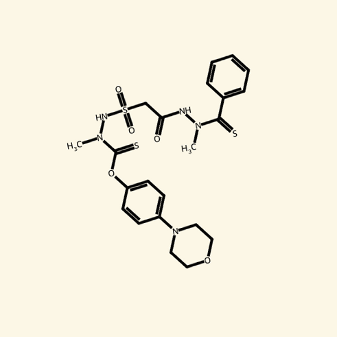 CN(NS(=O)(=O)CC(=O)NN(C)C(=S)c1ccccc1)C(=S)Oc1ccc(N2CCOCC2)cc1